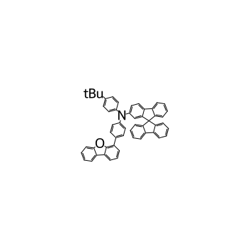 CC(C)(C)c1ccc(N(c2ccc(-c3cccc4c3oc3ccccc34)cc2)c2ccc3c(c2)C2(c4ccccc4-c4ccccc42)c2ccccc2-3)cc1